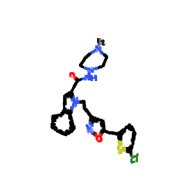 CCN1CCN(NC(=O)c2cc3ccccc3n2Cc2cc(-c3ccc(Cl)s3)on2)CC1